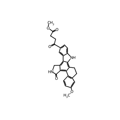 COC(=O)CCC(=O)c1ccc2[nH]c3c4c(c5c(c3c2c1)CNC5=O)-c1ccc(OC)cc1CC4